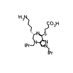 CC(C)CN1C[C@H](CCCCN)N=C(SCCC(=O)O)c2nn(CC(C)C)cc21